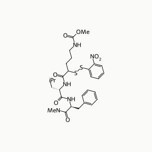 CNC(=O)[C@H](Cc1ccccc1)NC(=O)[C@H](CC(C)C)NC(=O)C(CCCNC(=O)OC)SSc1ccccc1[N+](=O)[O-]